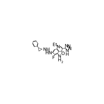 CCn1cc(-c2nnn[nH]2)c(=O)c2c(N)c(F)c(NCCN[C@@H]3C[C@H]3c3ccccc3)cc21